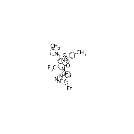 CCC1CC(c2cccc(-n3cc(C(F)(F)F)c4cc(CN5CCC[C@H](C)C5)n(S(=O)(=O)c5ccc(C)cc5)c4c3=O)c2)(c2nncn2C)C1